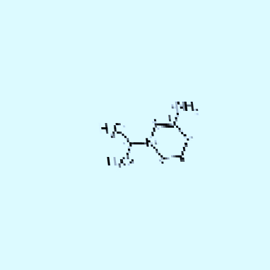 CC(C)N1C=C(N)CCC1